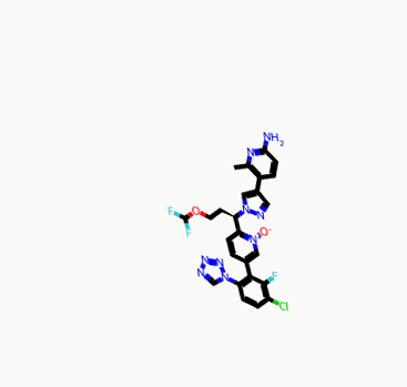 Cc1nc(N)ccc1-c1cnn([C@H](CCOC(F)F)c2ccc(-c3c(-n4cnnn4)ccc(Cl)c3F)c[n+]2[O-])c1